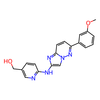 COc1cccc(-c2ccc3nc(Nc4ccc(CO)cn4)cn3n2)c1